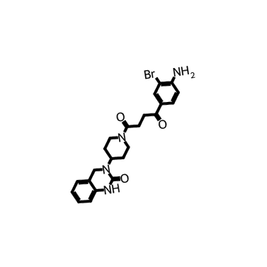 Nc1ccc(C(=O)CCC(=O)N2CCC(N3Cc4ccccc4NC3=O)CC2)cc1Br